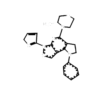 C[C@@H]1COCCN1c1nc2c(cnn2C2=NCC=C2)c2c1CCN2c1ccccc1